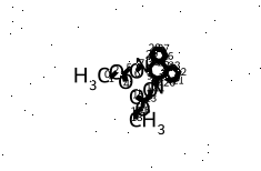 CCOC(=O)CON=C1CC(=NOCC(=O)OCC)c2ccccc2-c2ccccc21